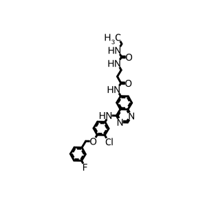 CCNC(=O)NCCC(=O)Nc1ccc2ncnc(Nc3ccc(OCc4cccc(F)c4)c(Cl)c3)c2c1